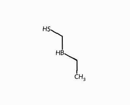 CCBCS